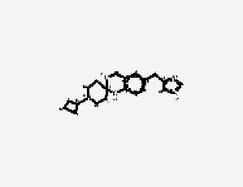 c1nc(Cc2ccc3c(c2)COC2(CCN(C4CCC4)CC2)O3)cs1